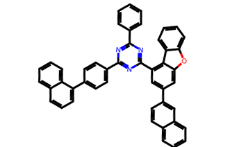 c1ccc(-c2nc(-c3ccc(-c4cccc5ccccc45)cc3)nc(-c3cc(-c4ccc5ccccc5c4)cc4oc5ccccc5c34)n2)cc1